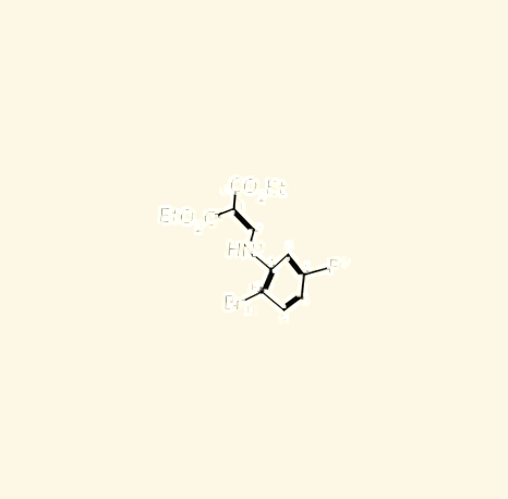 CCOC(=O)C(=CNc1cc(F)ccc1Br)C(=O)OCC